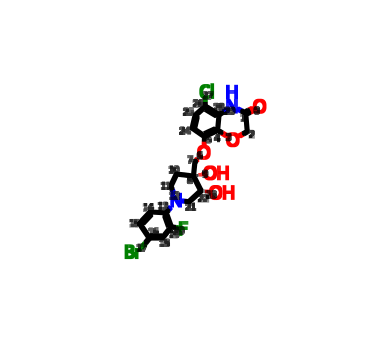 O=C1COc2c(OC[C@]3(O)CCN(c4ccc(Br)cc4F)C[C@H]3O)ccc(Cl)c2N1